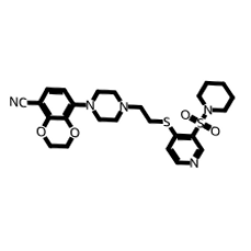 N#Cc1ccc(N2CCN(CCSc3ccncc3S(=O)(=O)N3CCCCC3)CC2)c2c1OCCO2